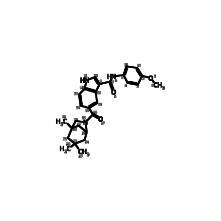 COc1ccc(NC(=O)c2c[nH]c3ccc(C(=O)N4CC5(C)CC4CC(C)(C)C5)cc23)cc1